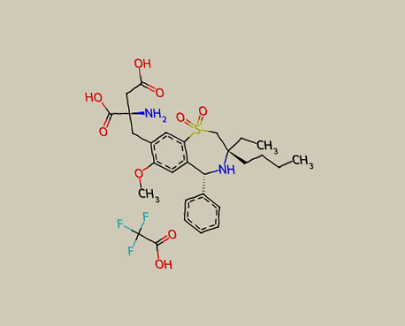 CCCC[C@]1(CC)CS(=O)(=O)c2cc(C[C@@](N)(CC(=O)O)C(=O)O)c(OC)cc2[C@@H](c2ccccc2)N1.O=C(O)C(F)(F)F